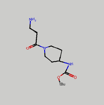 CC(C)(C)OC(=O)NC1CCN(C(=O)CCN)CC1